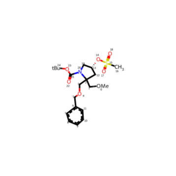 COCC1(COCc2ccccc2)C[C@@H](OS(C)(=O)=O)CN1C(=O)OC(C)(C)C